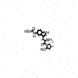 CCCCC(=O)Nc1ccc2[nH]cc(C[C@H](N)C(=O)N3CCC[C@H]3C#N)c2c1